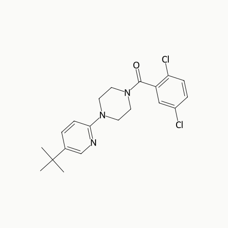 CC(C)(C)c1ccc(N2CCN(C(=O)c3cc(Cl)ccc3Cl)CC2)nc1